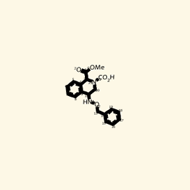 COC(=O)C1c2ccccc2C(NOCc2ccccc2)CN1C(=O)O